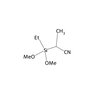 CC[Si](OC)(OC)C(C)C#N